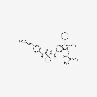 Cc1c(C2CCCCC2)c2ccc(C(=O)NC3(C(=O)Nc4ccc(/C=C/C(=O)O)cc4)CCCC3)cc2n1CC(=O)N(C)C